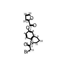 O=C(Oc1ccc2c(c1)CCCN2C(=O)CBr)c1ccco1